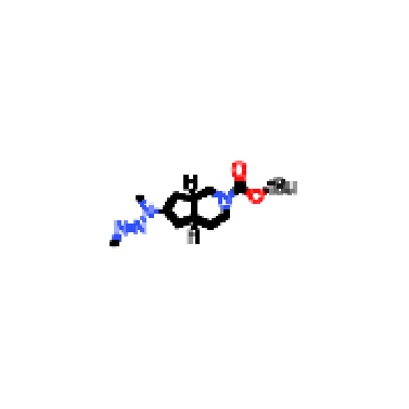 C/N=N/N(C)[C@@H]1C[C@H]2CCN(C(=O)OC(C)(C)C)C[C@H]2C1